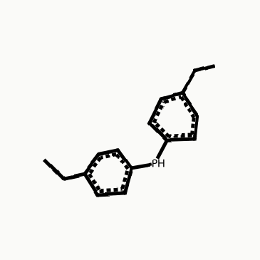 CCc1ccc(Pc2ccc(CC)cc2)cc1